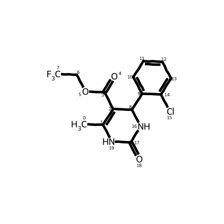 CC1=C(C(=O)OCC(F)(F)F)C(c2ccccc2Cl)NC(=O)N1